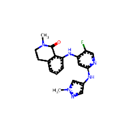 CN1CCc2cccc(Nc3cc(Nc4cnn(C)c4)ncc3F)c2C1=O